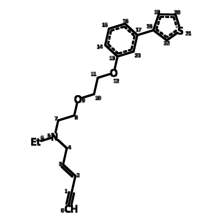 C#C/C=C/CN(CC)CCOCCOc1cccc(-c2ccsc2)c1